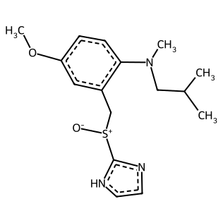 COc1ccc(N(C)CC(C)C)c(C[S+]([O-])c2ncc[nH]2)c1